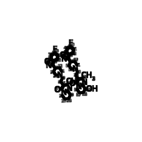 Cc1nc2n(c(=O)c1CCN1CCC(c3noc4cc(F)ccc34)CC1)CCCC2.Cc1nc2n(c(=O)c1CCN1CCC(c3noc4cc(F)ccc34)CC1)CCC[C@H]2O